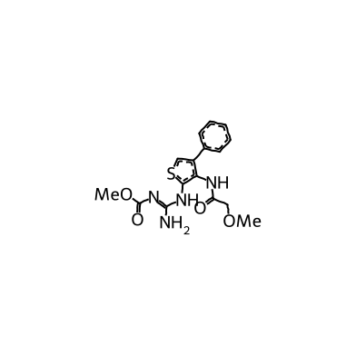 COCC(=O)Nc1c(-c2ccccc2)csc1NC(N)=NC(=O)OC